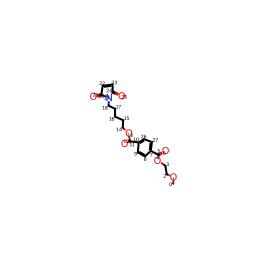 COCCOC(=O)c1ccc(C(=O)OCCCCCN2C(=O)C=CC2=O)cc1